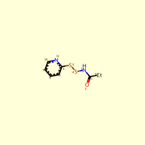 CCC(=O)NSSc1ccccn1